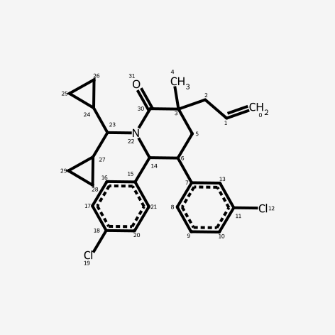 C=CCC1(C)CC(c2cccc(Cl)c2)C(c2ccc(Cl)cc2)N(C(C2CC2)C2CC2)C1=O